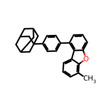 Cc1cccc2c1oc1cccc(-c3ccc(C45CC6CC(CC(C6)C4)C5)cc3)c12